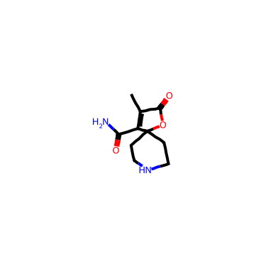 CC1=C(C(N)=O)C2(CCNCC2)OC1=O